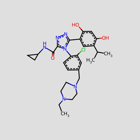 CCN1CCN(Cc2ccc(-n3c(C(=O)NC4CC4)nnc3-c3cc(C(C)C)c(O)cc3O)c(Cl)c2)CC1